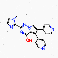 Cn1ccnc1-c1nc(O)c2c(-c3ccncc3)c(-c3ccncc3)cn2n1